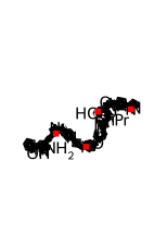 CC(C)[C@H](C(=O)N1C[C@H](O)C[C@H]1C(=O)N[C@@H](C)c1ccc(-c2ccnn2C)cc1)c1cc(N2CCC(OC3CCN(CC4CC(N5CCC([C@H](C)n6cc(C#Cc7cc(-c8ccccc8O)nnc7N)cn6)CC5)C4)CC3)CC2)no1